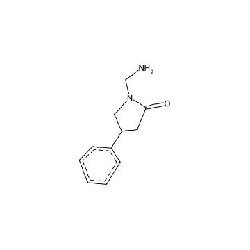 NCN1CC(c2ccccc2)CC1=O